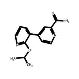 CC(C)Oc1ncccc1-c1ccnc(C(N)=O)c1